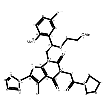 COCCO[C@@H](Cn1c(=O)n(CC(=O)N2CCCC2)c(=O)c2c(C)c(-n3nccn3)sc21)c1cc(F)ccc1OC